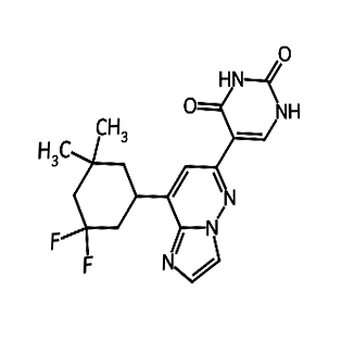 CC1(C)CC(c2cc(-c3c[nH]c(=O)[nH]c3=O)nn3ccnc23)CC(F)(F)C1